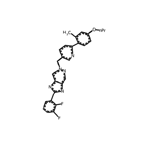 CCCOc1ccc(-c2ccc(Cn3cc4nc(-c5cccc(F)c5F)nc-4cn3)cn2)c(C)c1